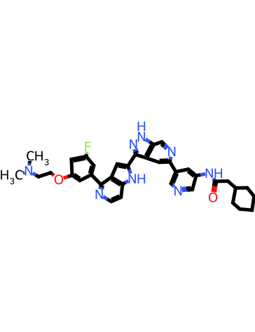 CN(C)CCOc1cc(F)cc(-c2nccc3[nH]c(-c4n[nH]c5cnc(-c6cncc(NC(=O)CC7CCCCC7)c6)cc45)cc23)c1